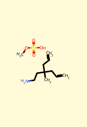 C=CCC(C)(CC=C)CCN.COS(=O)(=O)O